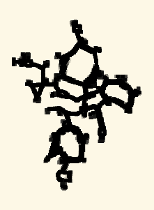 CC(c1ccc(Cl)cc1)N1C(=O)c2ccccc2C1(OCC1(CO)CC1)C1=CC=C(Cl)CC1